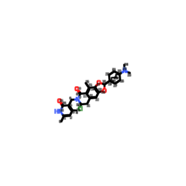 Cc1cc(C)c(CN2C(=O)c3c(cc4c(c3C)OC(C35CCC(N(C)C)(CC3)CC5)O4)CC2Cl)c(=O)[nH]1